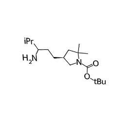 CC(C)C(N)CC[C@@H]1CN(C(=O)OC(C)(C)C)C(C)(C)C1